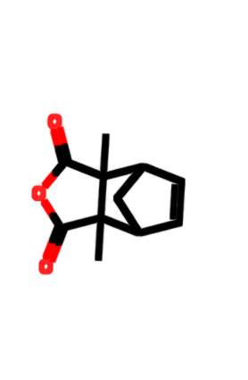 CC12C(=O)OC(=O)C1(C)C1C=CC2C1